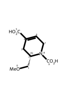 COC[C@@H]1CC(C(=O)O)=CCN1C(=O)O